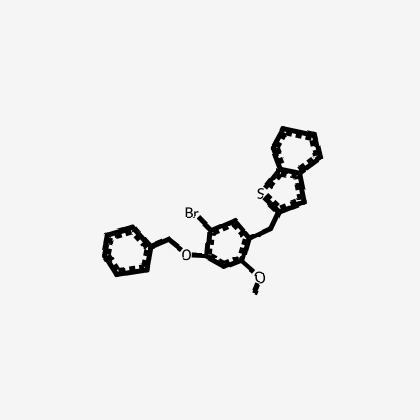 COc1cc(OCc2ccccc2)c(Br)cc1Cc1cc2ccccc2s1